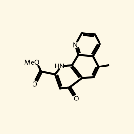 COC(=O)c1cc(=O)c2cc(C)c3cccnc3c2[nH]1